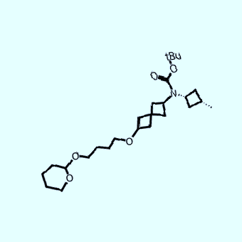 CC(C)(C)OC(=O)N(C1CC2(CC(OCCCCOC3CCCCO3)C2)C1)[C@H]1C[C@@H](C)C1